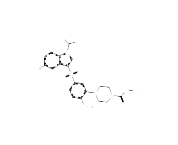 COc1ccc(S(=O)(=O)c2cn(C(F)F)c3ccc(F)cc23)cc1N1CCN(C(=O)OC(C)(C)C)CC1